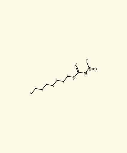 CCCCCCCCOC(=S)NC(=O)I